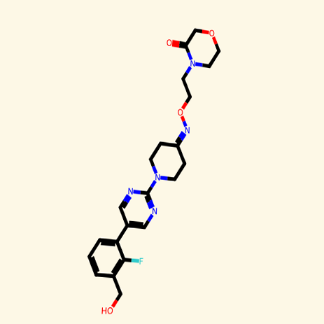 O=C1COCCN1CCON=C1CCN(c2ncc(-c3cccc(CO)c3F)cn2)CC1